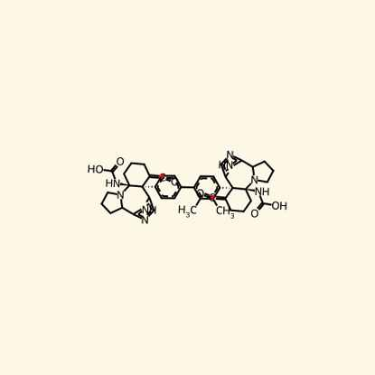 Cc1c(-c2ccc([C@@]34C(=C=O)CCC[C@@]3(NC(=O)O)N3CCCC3c3ncc4[nH]3)cc2)ccc([C@@]23C(=C=O)CCC[C@@]2(NC(=O)O)N2CCCC2c2ncc3[nH]2)c1C